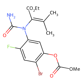 CCOC(=O)C(=C(C)C)N(C(N)=O)c1cc(OC(=O)OC)c(Br)cc1F